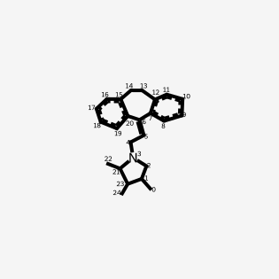 CC1CN(CC=C2c3ccccc3CCc3ccccc32)C(C)C1C